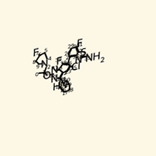 CC(CN1CCC(F)CC1)Oc1nc(N2CC3CCC(C2)N3)c2cc(Cl)c(-c3ccc(F)c4sc(N)nc34)c(F)c2n1